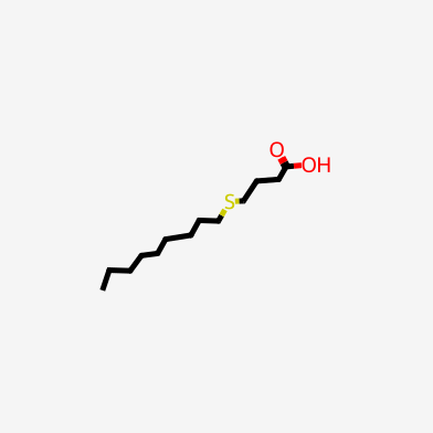 CCCCCCCCCSCCCC(=O)O